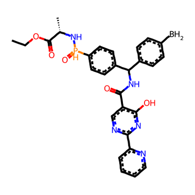 Bc1ccc(C(NC(=O)c2cnc(-c3ccccn3)nc2O)c2ccc([PH](=O)N[C@@H](C)C(=O)OCC)cc2)cc1